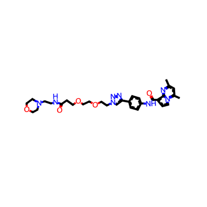 Cc1cc(C)n2ccc(C(=O)Nc3ccc(-c4cn(CCOCCOCCC(=O)NCCN5CCOCC5)nn4)cc3)c2n1